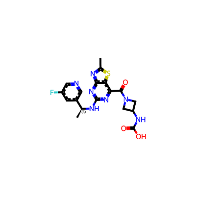 Cc1nc2nc(N[C@@H](C)c3cncc(F)c3)nc(C(=O)N3CC(NC(=O)O)C3)c2s1